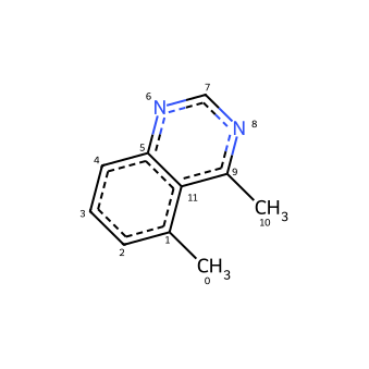 Cc1cccc2ncnc(C)c12